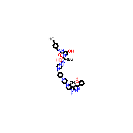 C#Cc1ccc(CNC(=O)[C@@H]2C[C@@H](O)CN2C(=O)[C@@H](NC(O)N2CCN(C[C@H]3CC[C@@H](N4CCC(N5CCc6[nH]c7nnc(-c8ccccc8O)cc7c6[C@H]5C)CC4)CC3)CC2)C(C)(C)C)cc1